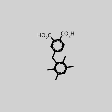 Cc1cc(C)c(C)c(Cc2ccc(C(=O)O)c(C(=O)O)c2)c1C